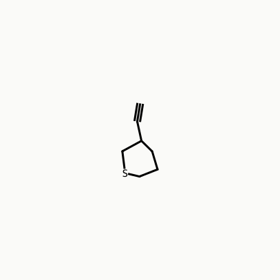 C#CC1CCCSC1